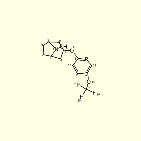 CN1C2CCC1CC(Oc1ccc(OC(F)(F)F)cc1)C2